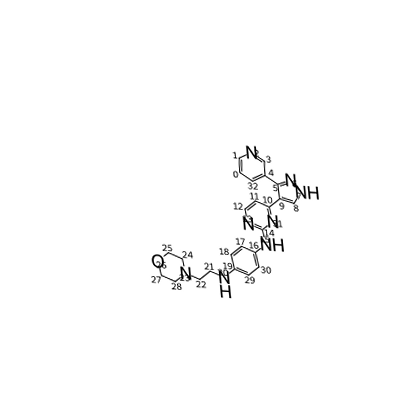 c1cncc(-c2n[nH]cc2-c2ccnc(Nc3ccc(NCCN4CCOCC4)cc3)n2)c1